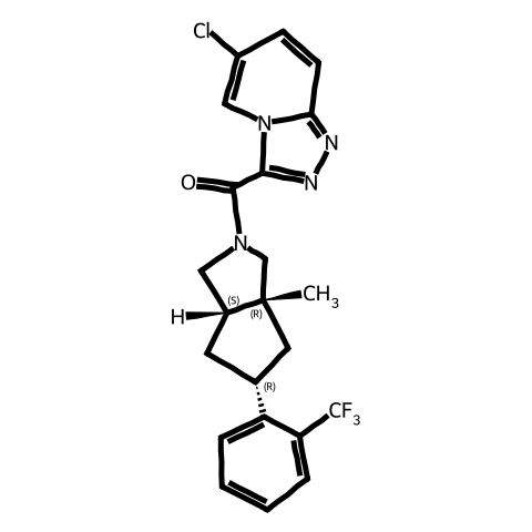 C[C@@]12C[C@H](c3ccccc3C(F)(F)F)C[C@@H]1CN(C(=O)c1nnc3ccc(Cl)cn13)C2